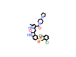 Cc1cc(C(=O)N2CCC(N3CCCC3)CC2)c(/C=C2\C(=O)Nc3ccc(S(=O)(=O)Cc4c(Cl)cccc4Cl)cc32)[nH]1